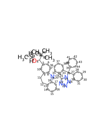 C[SiH](C)OC(c1ccc2c(c1)CCc1ccccc1N2Cc1nnnn1C(c1ccccc1)(c1ccccc1)c1ccccc1)C(C)(C)C